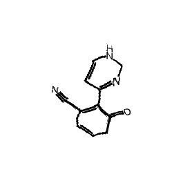 N#CC1=C(C2=NCNC=C2)C(=O)CC=C1